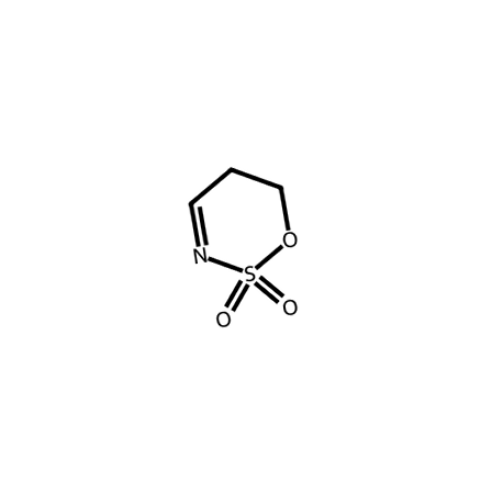 O=S1(=O)N=CCCO1